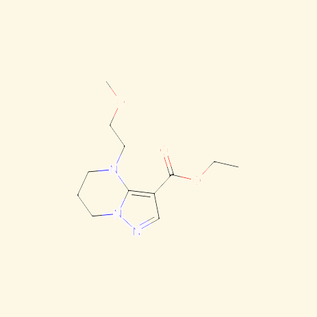 CCOC(=O)c1cnn2c1N(CCOC)CCC2